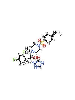 CC(N1CCN(S(=O)(=O)c2ccc([N+](=O)[O-])cc2)CC1)C(O)(Cn1cncn1)c1ccc(F)cc1F